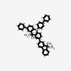 CC1(C)c2ccccc2-c2ccc(-c3ccc4c(c3)C(C)(C)c3cc(-c5ccccc5)ccc3N4c3ccc(-c4ccccc4)cc3)cc21